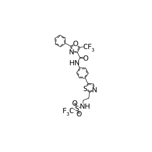 O=C(Nc1ccc(-c2cnc(CCNS(=O)(=O)C(F)(F)F)s2)cc1)c1nc(-c2ccccc2)oc1C(F)(F)F